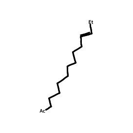 CC/C=C/CCCCCCCCCC(C)=O